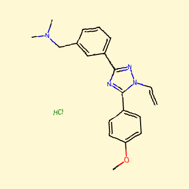 C=Cn1nc(-c2cccc(CN(C)C)c2)nc1-c1ccc(OC)cc1.Cl